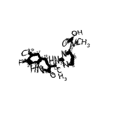 C[C@H](Nc1nccc(N(C)C(=O)O)n1)c1cc2cc(Cl)c(F)cc2[nH]c1=O